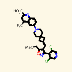 COCc1onc(-c2c(Cl)cncc2Cl)c1C=C1CC2(CCN(c3ccc4nc(C(=O)O)cc(C(F)(F)F)c4c3)CC2)C1